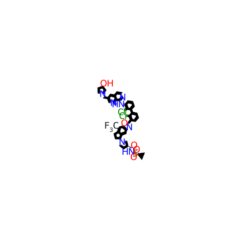 O=C(NS(=O)(=O)C1CC1)[C@@H]1CCN([C@@H]2CCc3c2cc2nc(-c4cccc(-c5cccc(Nc6nccc7cc(CN8CC[C@@H](O)C8)cnc67)c5Cl)c4Cl)oc2c3C(F)(F)F)C1